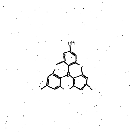 CCCc1cc(C)c(B(c2c(C)cc(C)cc2C)c2c(C)cc(C)cc2C)c(C)c1